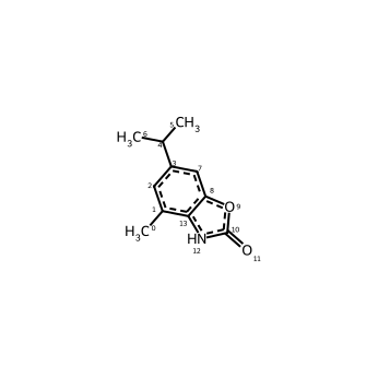 Cc1cc(C(C)C)cc2oc(=O)[nH]c12